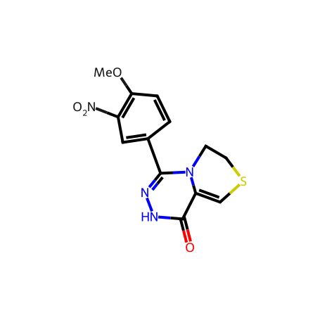 COc1ccc(C2=NNC(=O)C3=CSCCN32)cc1[N+](=O)[O-]